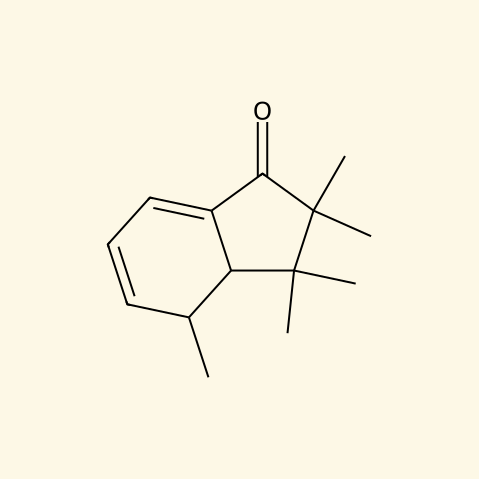 CC1C=CC=C2C(=O)C(C)(C)C(C)(C)C21